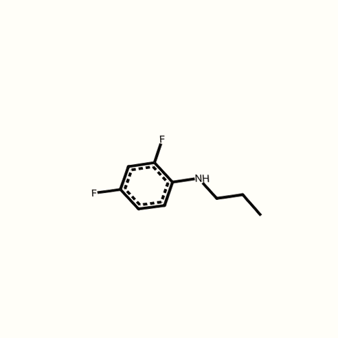 CCCNc1ccc(F)cc1F